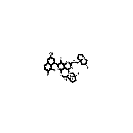 Oc1cc(-c2nc3c4c(nc(OC[C@@]56CCCN5C[C@H](F)C6)nc4c2F)N2C[C@@H]4CCC(N4)[C@@H]2CO3)c2c(F)c(F)ccc2c1